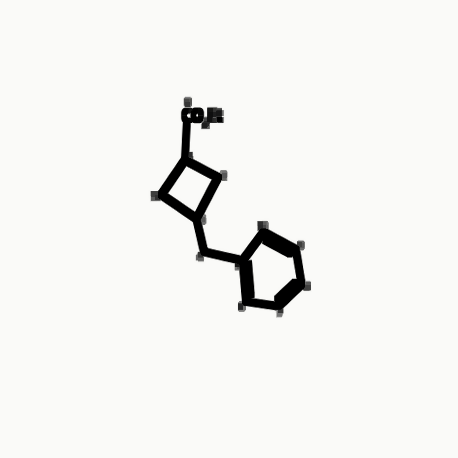 CCOC(=O)C1CC(Cc2ccccc2)C1